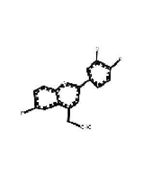 O=CCc1cc(-c2ccc(F)c(Cl)c2)nc2ccc(F)cc12